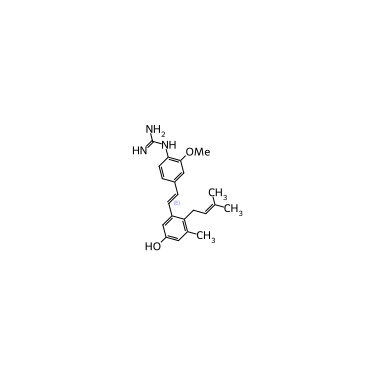 COc1cc(/C=C/c2cc(O)cc(C)c2CC=C(C)C)ccc1NC(=N)N